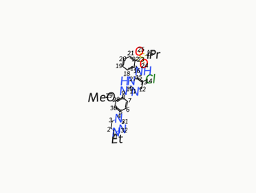 CCN1CCN(c2ccc(Nc3ncc(Cl)c(Nc4ccccc4S(=O)(=O)C(C)C)n3)c(OC)c2)C=N1